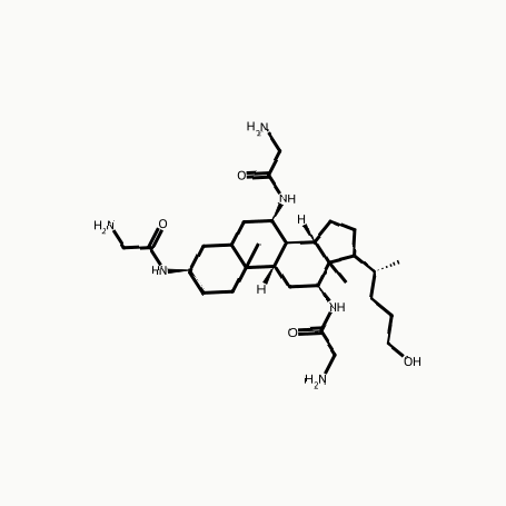 C[C@H](CCCO)C1CC[C@H]2C3[C@H](NC(=O)CN)CC4C[C@H](NC(=O)CN)CCC4(C)[C@H]3C[C@H](NC(=O)CN)C12C